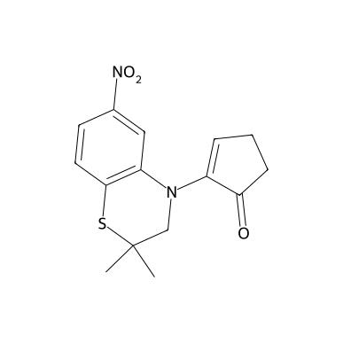 CC1(C)CN(C2=CCCC2=O)c2cc([N+](=O)[O-])ccc2S1